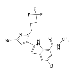 CNC(=O)c1cc(Cl)cc2cc(-c3cc(Br)nn3CCCC(F)(F)F)[nH]c12